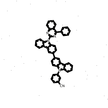 N#Cc1cccc(-n2c3ccccc3c3cc(-c4ccc5c(c4)c4ccccc4n5-c4nc(-c5ccccc5)c5ccccc5n4)ccc32)c1